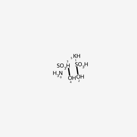 N.O=S(=O)(O)O.O=S(=O)(O)O.[KH]